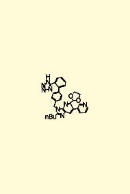 CCCCc1nc2cc(-c3cccnc3)c(C3OCCO3)nc2n1Cc1ccc(-c2ccccc2-c2nnn[nH]2)cc1